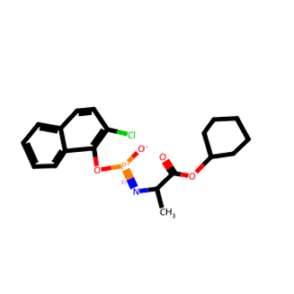 CC(/N=[P+](\[O-])Oc1c(Cl)ccc2ccccc12)C(=O)OC1CCCCC1